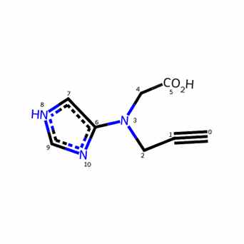 C#CCN(CC(=O)O)c1c[nH]cn1